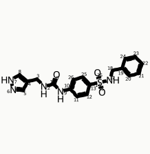 O=C(NCc1cn[nH]c1)Nc1ccc(S(=O)(=O)NCc2ccccc2)cc1